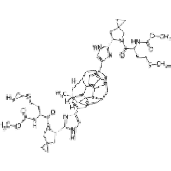 COC(=O)N[C@@H](CCSC)C(=O)N1CC2(CC2)C[C@H]1c1nc(-c2ccc(C3=CC4=CC[C@@H]3C[C@@H](C)[C@@H]3C=CC(=C(c5ccc(-c6c[nH]c([C@@H]7CC8(CC8)CN7C(=O)[C@H](CCSC)NC(=O)OC)n6)cc5)C3)CC4)cc2)c[nH]1